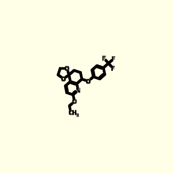 CCOc1ccc2c(n1)C(Oc1ccc(C(F)(F)F)cc1)CCC21OCCO1